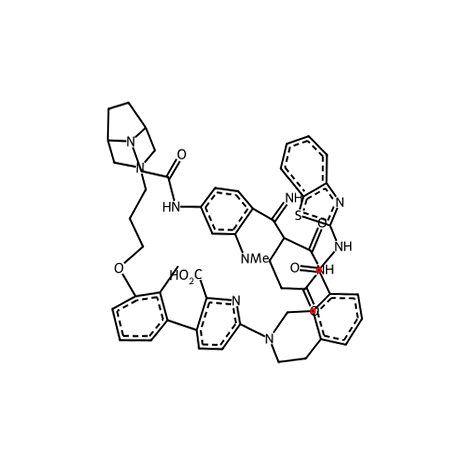 CNc1cc(NC(=O)CN2C3CCC2CN(CCCOc2cccc(-c4ccc(N5CCc6cccc(C(=O)Nc7nc8ccccc8s7)c6C5)nc4C(=O)O)c2C)C3)ccc1C(=N)C1CCC(=O)NC1=O